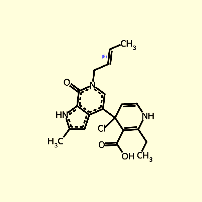 C/C=C/Cn1cc(C2(Cl)C=CNC(CC)=C2C(=O)O)c2cc(C)[nH]c2c1=O